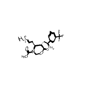 C=CC[C@H]1[C@H](CC(=C)c2cccc(C(F)(F)F)c2)C(=O)OCN1C(=O)O